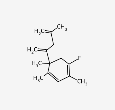 C=C(C)CC(=C)C1(C)CC(F)=C(C)C=C1C